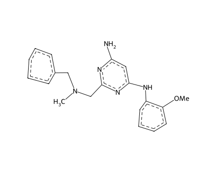 COc1ccccc1Nc1cc(N)nc(CN(C)Cc2ccccc2)n1